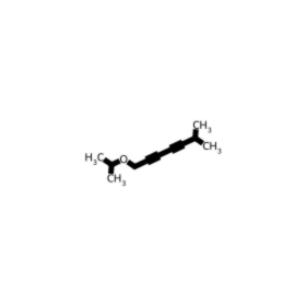 CC(C)C#CC#CCOC(C)C